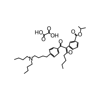 CCCCc1oc2ccc(C(=O)OC(C)C)cc2c1C(=O)c1ccc(CCCCN(CCCC)CCCC)cc1.O=C(O)C(=O)O